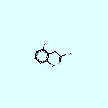 COC(=O)Cc1c(O)cccc1C(F)(F)F